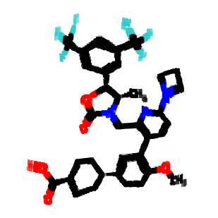 COc1ccc([C@H]2CC[C@H](C(=O)O)CC2)cc1-c1ccc(N2CCC2)nc1CN1C(=O)O[C@H](c2cc(C(F)(F)F)cc(C(F)(F)F)c2)[C@@H]1C